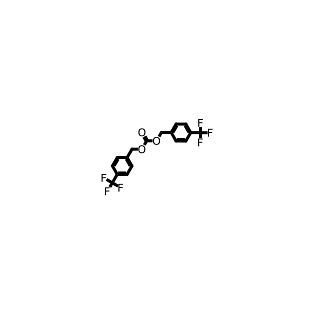 O=C(OCc1ccc(C(F)(F)F)cc1)OCc1ccc(C(F)(F)F)cc1